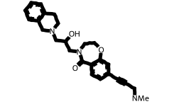 CNCC#Cc1ccc2c(c1)OCCN(CC(O)CN1CCc3ccccc3C1)C2=O